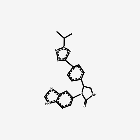 CC(C)n1nnc(-c2ccc(C3CNC(=O)N3c3ccc4[nH]cnc4c3)cc2)n1